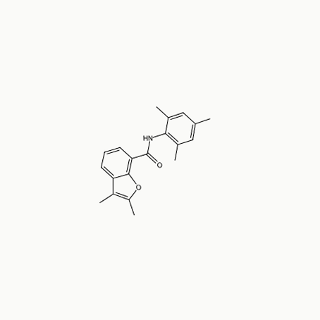 Cc1cc(C)c(NC(=O)c2cccc3c(C)c(C)oc23)c(C)c1